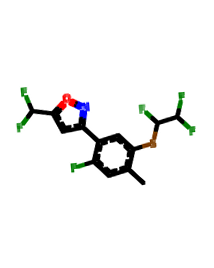 Cc1cc(F)c(-c2cc(C(F)F)on2)cc1SC(F)C(F)F